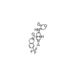 CO[C@@H]1COCC[C@@H]1N[C@@H]1C[C@H]2CN(C3CC3)C[C@@]2(C(=O)N2CCc3ccc(C(F)(F)F)cc3C2)C1